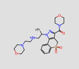 CCCC(CNCCN1CCOCC1)n1nc(C(=O)N2CCOCC2)c2c1-c1ccccc1S(=O)(=O)C2